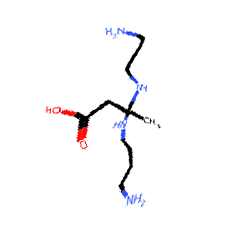 CC(CC(=O)O)(NCCN)NCCN